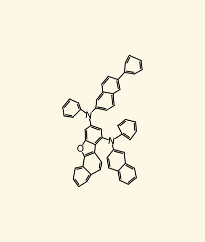 c1ccc(-c2ccc3cc(N(c4ccccc4)c4cc(N(c5ccccc5)c5ccc6ccccc6c5)c5c(c4)oc4c6ccccc6ccc45)ccc3c2)cc1